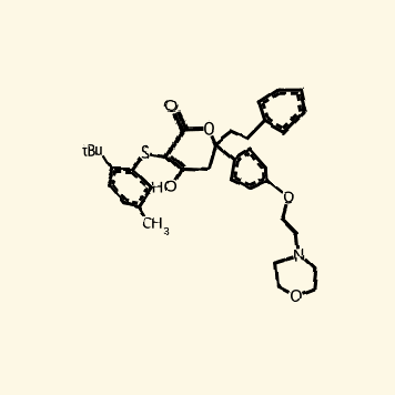 Cc1ccc(C(C)(C)C)c(SC2=C(O)CC(CCc3ccccc3)(c3ccc(OCCN4CCOCC4)cc3)OC2=O)c1